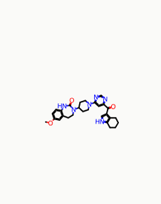 COc1ccc2c(c1)CCN(C1CCN(c3cc(C(=O)c4c[nH]c5c4CCCC5)ncn3)CC1)C(=O)N2